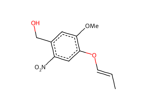 CC=COc1cc([N+](=O)[O-])c(CO)cc1OC